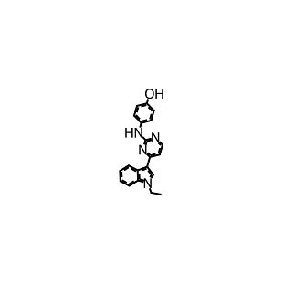 CCn1cc(-c2ccnc(Nc3ccc(O)cc3)n2)c2ccccc21